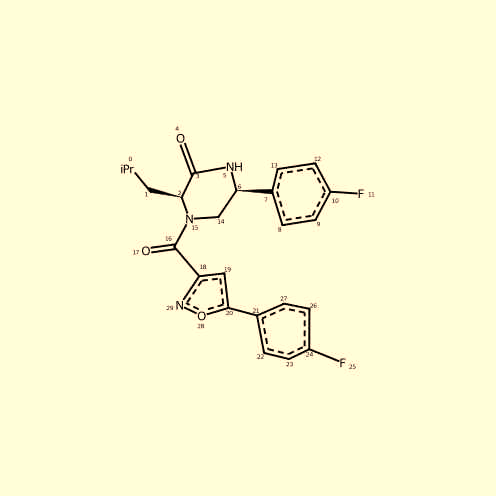 CC(C)C[C@H]1C(=O)N[C@@H](c2ccc(F)cc2)CN1C(=O)c1cc(-c2ccc(F)cc2)on1